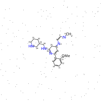 C=N/C=C\N=C1\C=C(c2ccccc2OC)N=C(NCC2CCCNC2)C1